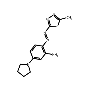 Cc1nnc(N=Nc2ccc(N3CCCC3)cc2N)s1